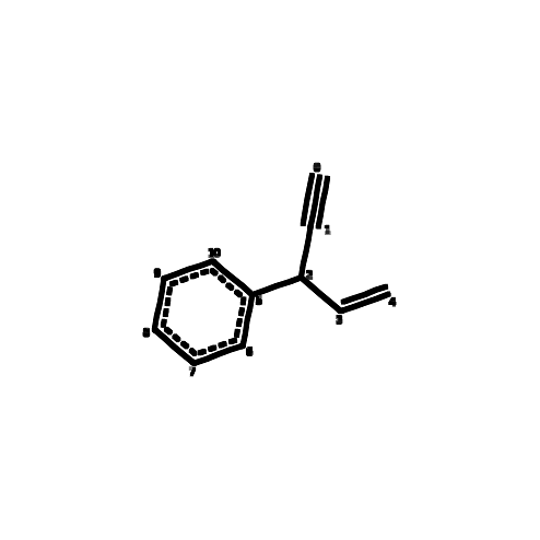 C#CC(C=C)c1ccccc1